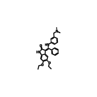 CCOc1cc2c(cc1OCC)/C(=C(/Nc1cccc(CN(C)C)c1)c1ccccc1)C(=O)N2